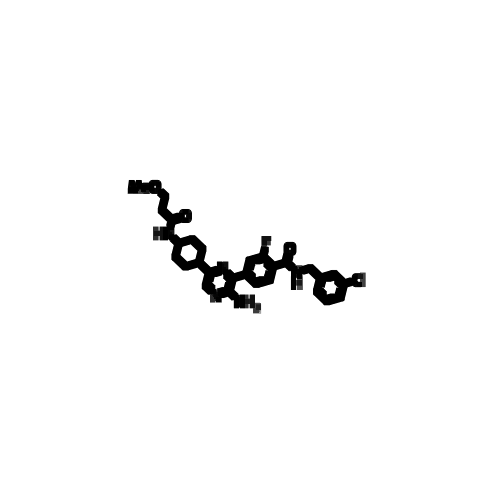 COCCC(=O)NC1CCC(c2cnc(N)c(-c3ccc(C(=O)NCc4cccc(Cl)c4)c(F)c3)n2)CC1